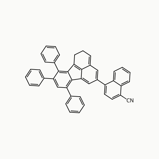 N#Cc1ccc(-c2cc3c4c(c2)=CCCC=4c2c(-c4ccccc4)c(-c4ccccc4)cc(-c4ccccc4)c2-3)c2ccccc12